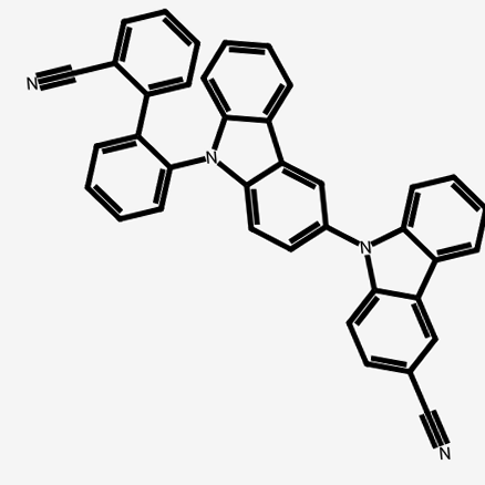 N#Cc1ccc2c(c1)c1ccccc1n2-c1ccc2c(c1)c1ccccc1n2-c1ccccc1-c1ccccc1C#N